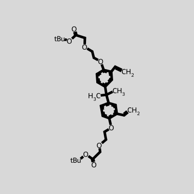 C=Cc1cc(C(C)(C)c2ccc(OCCOCC(=O)OC(C)(C)C)c(C=C)c2)ccc1OCCOCC(=O)OC(C)(C)C